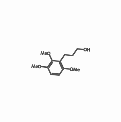 COc1ccc(OC)c(OC)c1CCCO